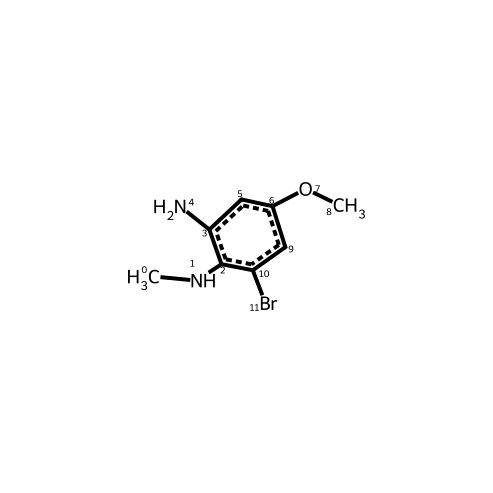 CNc1c(N)cc(OC)cc1Br